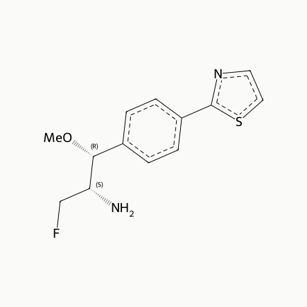 CO[C@H](c1ccc(-c2nccs2)cc1)[C@H](N)CF